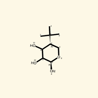 CC(C)(C)[C@@H]1CO[C@@H](O)C(O)C1O